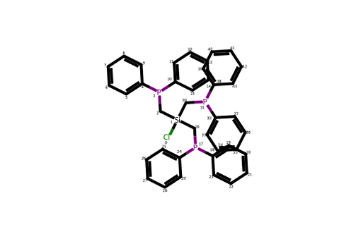 Cl[Si](CP(c1ccccc1)c1ccccc1)(CP(c1ccccc1)c1ccccc1)CP(c1ccccc1)c1ccccc1